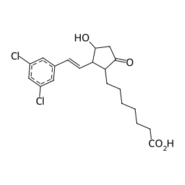 O=C(O)CCCCCCC1C(=O)CC(O)C1C=Cc1cc(Cl)cc(Cl)c1